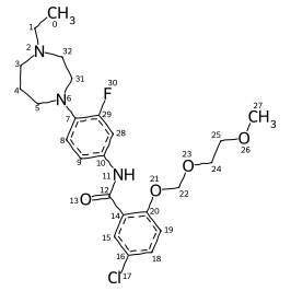 CCN1CCCN(c2ccc(NC(=O)c3cc(Cl)ccc3OCOCCOC)cc2F)CC1